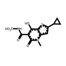 Cn1c(=O)c(C(=O)NC(=O)O)c(O)c2sc(C3CC3)cc21